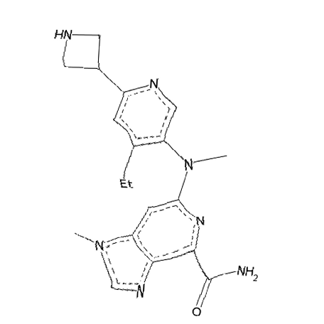 CCc1cc(C2CNC2)ncc1N(C)c1cc2c(ncn2C)c(C(N)=O)n1